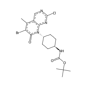 Cc1c(Br)c(=O)n([C@H]2CC[C@H](NC(=O)OC(C)(C)C)CC2)c2nc(Cl)ncc12